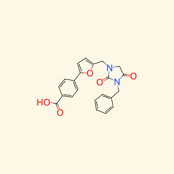 O=C(O)c1ccc(-c2ccc(CN3CC(=O)N(Cc4ccccc4)C3=O)o2)cc1